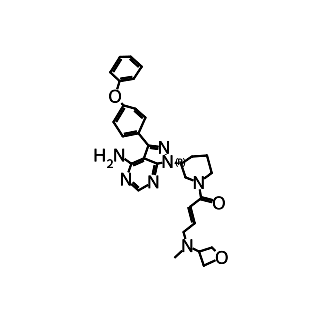 CN(CC=CC(=O)N1CCC[C@@H](n2nc(-c3ccc(Oc4ccccc4)cc3)c3c(N)ncnc32)C1)C1COC1